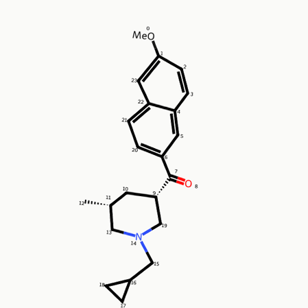 COc1ccc2cc(C(=O)[C@H]3C[C@@H](C)CN(CC4CC4)C3)ccc2c1